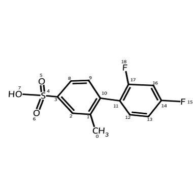 Cc1cc(S(=O)(=O)O)ccc1-c1ccc(F)cc1F